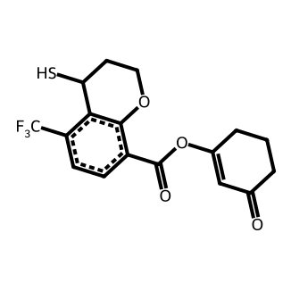 O=C1C=C(OC(=O)c2ccc(C(F)(F)F)c3c2OCCC3S)CCC1